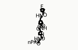 CCCOC(=O)CNC(=O)c1ccc(C(=O)NS(=O)(=O)c2ccc(CCNC(=O)c3ccc(F)cc3)cc2)cn1